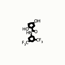 O=C(Nc1cc(C(F)(F)F)cc(C(F)(F)F)c1)c1cc(O)ccc1O